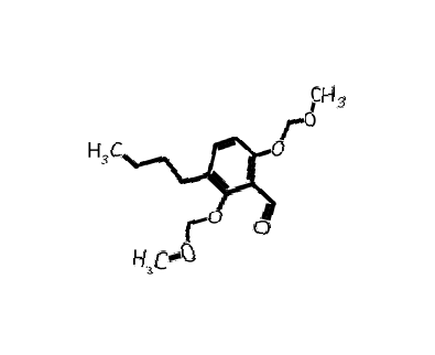 CCCCc1ccc(OCOC)c(C=O)c1OCOC